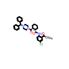 COC(=O)c1cc(Cl)ccc1NC(=O)[C@H]1CCCC[C@@H]1C(=O)N1CCN(C(c2ccccc2)c2ccccc2)CC1